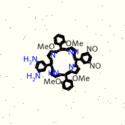 COc1cccc(OC)c1-c1c2nc(c(-c3cc(N=O)cc(N=O)c3)c3ccc([nH]3)c(-c3c(OC)cccc3OC)c3nc(c(-c4cc(N)cc(N)c4)c4ccc1[nH]4)C=C3)C=C2